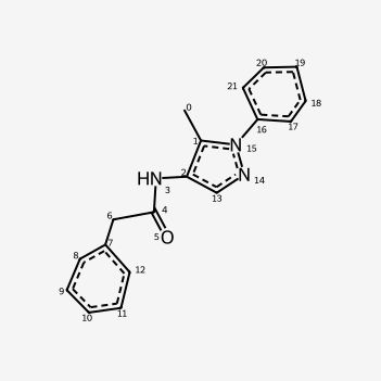 Cc1c(NC(=O)Cc2ccccc2)cnn1-c1ccccc1